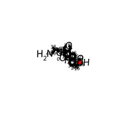 CO[C@@H]1C[C@@]23COC[C@@](C)([C@@H]2CC[C@H]2C3=CC[C@@]3(C)[C@H](C(=O)O)[C@@](C)([C@H](C)C(C)C)CC[C@]23C)[C@H]1OCC(C)CN